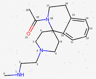 CNCCN1CCC2(CC1)c1ccccc1CCN2C(C)=O